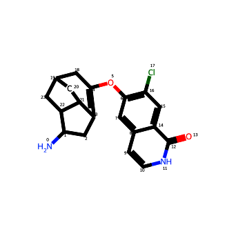 NC1CC2=C(Oc3cc4cc[nH]c(=O)c4cc3Cl)CC3CC2C1C3